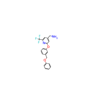 NCc1cc(Oc2cccc(COc3ccccc3)c2)nc(C(F)(F)F)c1